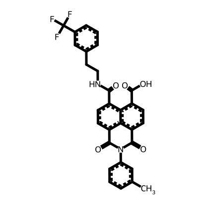 Cc1cccc(N2C(=O)c3ccc(C(=O)O)c4c(C(=O)NCCc5cccc(C(F)(F)F)c5)ccc(c34)C2=O)c1